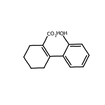 O=C(O)C1=C(c2ccccc2O)CCCC1